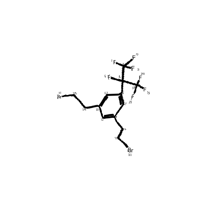 FC(F)(F)C(F)(c1cc(CCBr)[c]c(CCBr)c1)C(F)(F)F